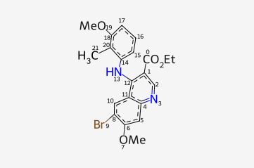 CCOC(=O)c1cnc2cc(OC)c(Br)cc2c1Nc1cccc(OC)c1C